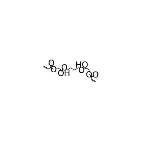 C=CC(=O)OCC(O)OCCCCOC(O)COC(=O)C=C